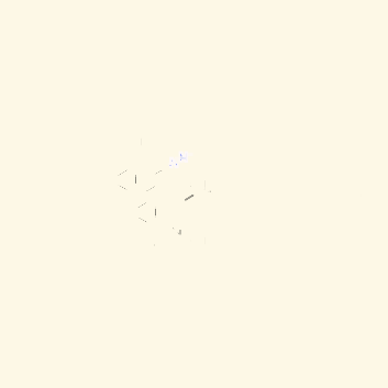 CCCCCCCCCCCCCCCCC#CCCc1ccccc1C(=C(CCCC)C(=C=[N+]=[N-])CCCC)c1cccc(CCCCCCCC)c1.C[CH2][Ni][CH2]C